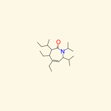 CCC1=CC(C(C)C)N(C(C)C)C(=O)C(C(C)CC)C1CC